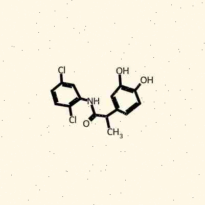 CC(C(=O)Nc1cc(Cl)ccc1Cl)c1ccc(O)c(O)c1